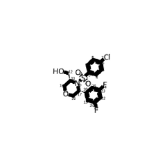 O=S(=O)(c1ccc(Cl)cc1)N1[C@@H](CO)COC[C@H]1c1cc(F)cc(F)c1